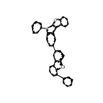 c1ccc(-c2cccc3c2oc2ccc(-c4ccc5c(c4)c4c6ccccc6oc4n5-c4ccccc4)cc23)cc1